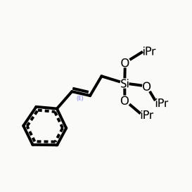 CC(C)O[Si](C/C=C/c1ccccc1)(OC(C)C)OC(C)C